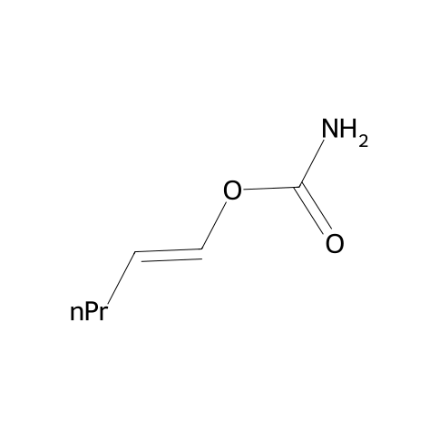 CCCC=COC(N)=O